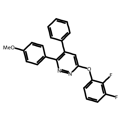 COc1ccc(-c2nnc(Oc3cccc(F)c3F)cc2-c2ccccc2)cc1